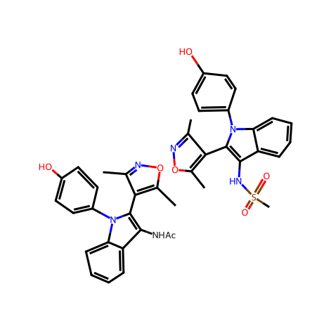 CC(=O)Nc1c(-c2c(C)noc2C)n(-c2ccc(O)cc2)c2ccccc12.Cc1noc(C)c1-c1c(NS(C)(=O)=O)c2ccccc2n1-c1ccc(O)cc1